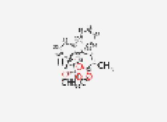 COC(=O)C(C)CC1(CC(C)C(=O)OC)c2ccccc2-c2ccccc21